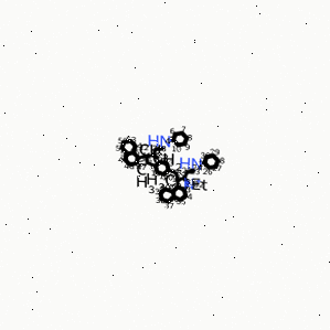 C=C(C=CNc1ccccc1)C(C)(Cc1ccc(CC2(C)C(C=CNc3ccccc3)=[N+](CC)c3ccc4ccccc4c32)cc1)c1c(C)ccc2ccccc12